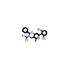 CCc1cccc(CC)c1-c1cc(OC)c(CN(Cc2ccccc2)C(CC)CC)c(C)n1